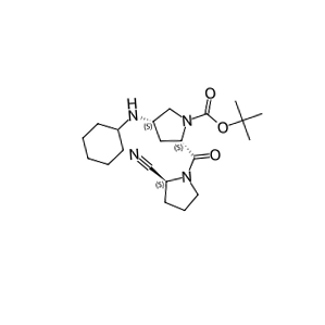 CC(C)(C)OC(=O)N1C[C@@H](NC2CCCCC2)C[C@H]1C(=O)N1CCC[C@H]1C#N